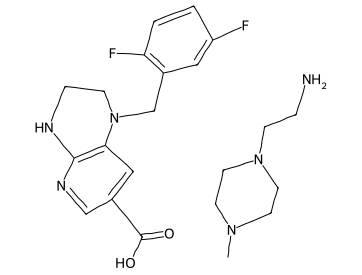 CN1CCN(CCN)CC1.O=C(O)c1cnc2c(c1)N(Cc1cc(F)ccc1F)CCN2